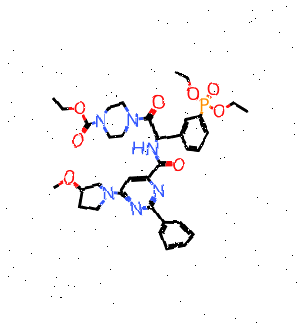 CCOC(=O)N1CCN(C(=O)C(NC(=O)c2cc(N3CCC(OC)C3)nc(-c3ccccc3)n2)c2cccc(P(=O)(OCC)OCC)c2)CC1